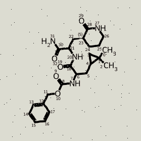 CC1(C)CC1CC(NC(=O)OCc1ccccc1)C(=O)NC(C[C@@H]1CCCNC1=O)C(N)=O